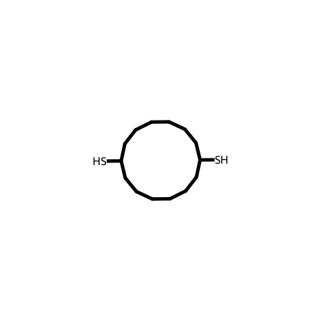 SC1CCCCCCC(S)CCCCCC1